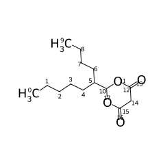 CCCCCC(CCCC)C1OC(=O)CC(=O)O1